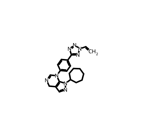 C=Cn1nnc(-c2ccc(N3C=NCc4cnn(C5CCCCCC5)c43)cc2)n1